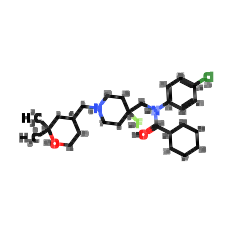 CC1(C)CC(CN2CCC(F)(CN(C(=O)C3CCCCC3)c3ccc(Cl)cc3)CC2)CCO1